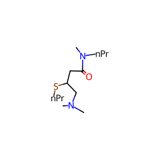 CCCSC(CC(=O)N(C)CCC)CN(C)C